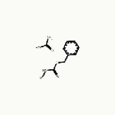 NC(=O)O.O=C(NBr)OCc1ccccc1